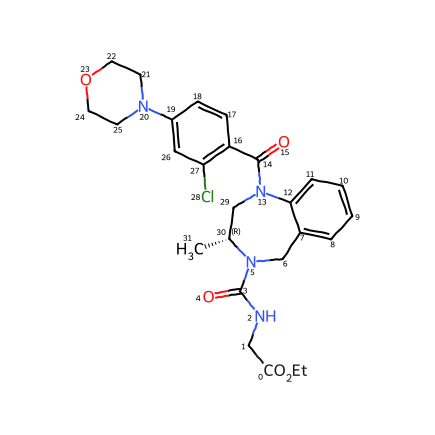 CCOC(=O)CNC(=O)N1Cc2ccccc2N(C(=O)c2ccc(N3CCOCC3)cc2Cl)C[C@H]1C